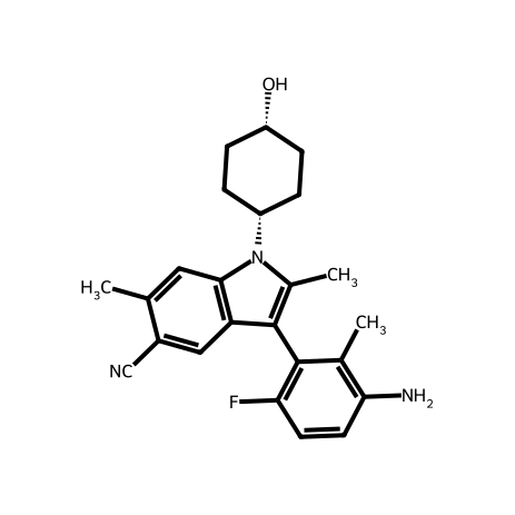 Cc1cc2c(cc1C#N)c(-c1c(F)ccc(N)c1C)c(C)n2[C@H]1CC[C@@H](O)CC1